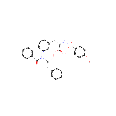 CC(C)Oc1ccc(S(=O)(=O)N[C@H](Cc2ccccc2)C(=O)OC[C@@H](Cc2ccccc2)NC(=O)c2ccccc2)cc1